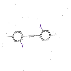 Cc1ccc(C#Cc2ccc(C)cc2I)c(I)c1